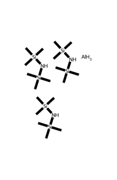 C[Si](C)(C)N[Si](C)(C)C.C[Si](C)(C)N[Si](C)(C)C.C[Si](C)(C)N[Si](C)(C)C.[AlH3]